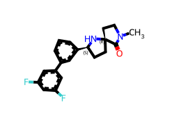 CN1CC[C@]2(CC[C@@H](c3cccc(-c4cc(F)cc(F)c4)c3)N2)C1=O